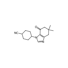 CC1(C)CC(=O)c2c(ncn2C2CCC(C#N)CC2)C1